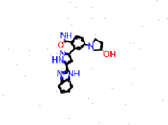 NC(=O)c1ccc(N2CC[C@@H](O)C2)cc1-c1cc(-c2nc3ccccc3[nH]2)[nH]n1